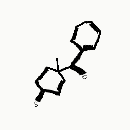 CC1(C(=O)c2ccccc2)C=CC(=S)C=C1